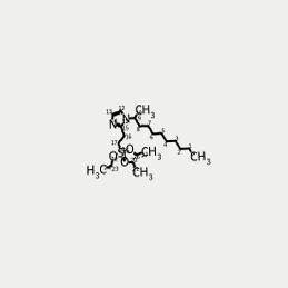 CCCCCCCCCC(C)n1ccnc1CC[Si](OCC)(OCC)OCC